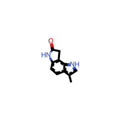 Cc1c[nH]c2c3c(ccc12)NC(=O)C3